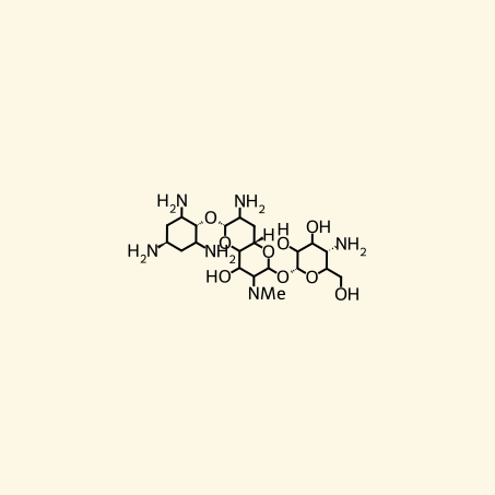 CNC1C(O[C@H]2OC(CO)[C@@H](N)C(O)C2O)O[C@H]2CC(N)[C@@H](O[C@H]3C(N)C[C@H](N)CC3N)OC2C1O